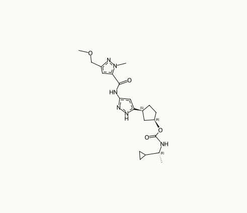 COCc1cc(C(=O)Nc2cc([C@H]3CC[C@@H](OC(=O)N[C@H](C)C4CC4)C3)[nH]n2)n(C)n1